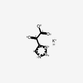 O=C([O-])C(=O)c1cnsn1.[K+]